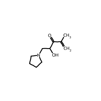 C=C(C)C(=O)C(O)CN1CCCC1